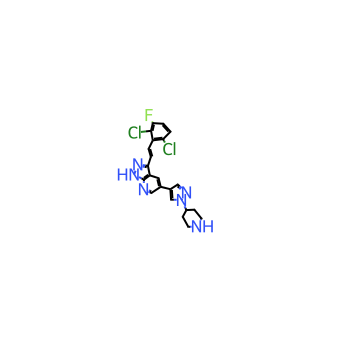 Fc1ccc(Cl)c(/C=C/c2n[nH]c3ncc(-c4cnn(C5CCNCC5)c4)cc23)c1Cl